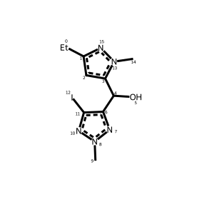 CCc1cc(C(O)c2nn(C)nc2I)n(C)n1